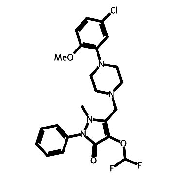 COc1ccc(Cl)cc1N1CCN(Cc2c(OC(F)F)c(=O)n(-c3ccccc3)n2C)CC1